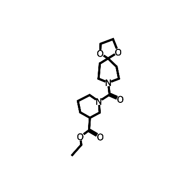 CCOC(=O)C1CCCN(C(=O)N2CCC3(CC2)OCCO3)C1